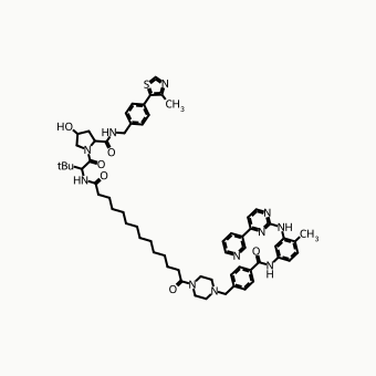 Cc1ccc(NC(=O)c2ccc(CN3CCN(C(=O)CCCCCCCCCCCCC(=O)NC(C(=O)N4CC(O)CC4C(=O)NCc4ccc(-c5scnc5C)cc4)C(C)(C)C)CC3)cc2)cc1Nc1nccc(-c2cccnc2)n1